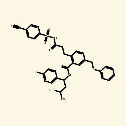 CC(C)CC(NC(=O)c1cc(COc2ccccc2)ccc1CCC(=O)NS(=O)(=O)c1ccc(C#N)cc1)c1ccc(F)cc1